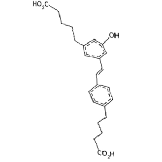 O=C(O)CCCCc1ccc(C=Cc2cc(O)cc(CCCCC(=O)O)c2)cc1